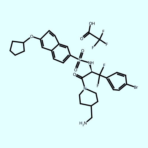 NCC1CCN(C(=O)[C@@H](NS(=O)(=O)c2ccc3cc(OC4CCCC4)ccc3c2)C(F)(F)c2ccc(Br)cc2)CC1.O=C(O)C(F)(F)F